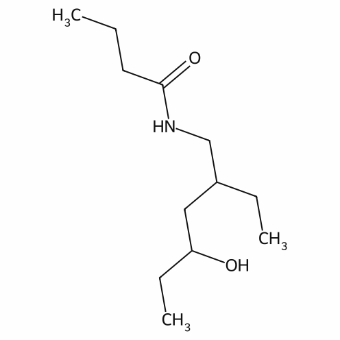 CCCC(=O)NCC(CC)CC(O)CC